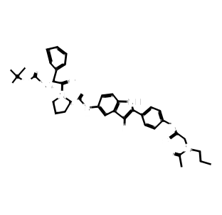 CCCN(CC(=O)Nc1ccc(-c2[nH]c3ccc(NC(=O)[C@@H]4CCCN4C(=O)[C@H](NC(=O)OC(C)(C)C)c4ccccc4)cc3c2F)cc1)C(C)=O